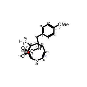 COc1ccc(CN2CC3=C4S/C=C\C2CC(C)(C3)S4(=O)=O)cc1